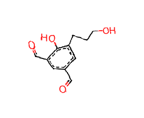 O=Cc1cc(C=O)c(O)c(CCCO)c1